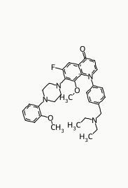 CCN(CC)Cc1ccc(-n2ccc(=O)c3cc(F)c(N4CCN(c5ccccc5OC)CC4)c(OC)c32)cc1